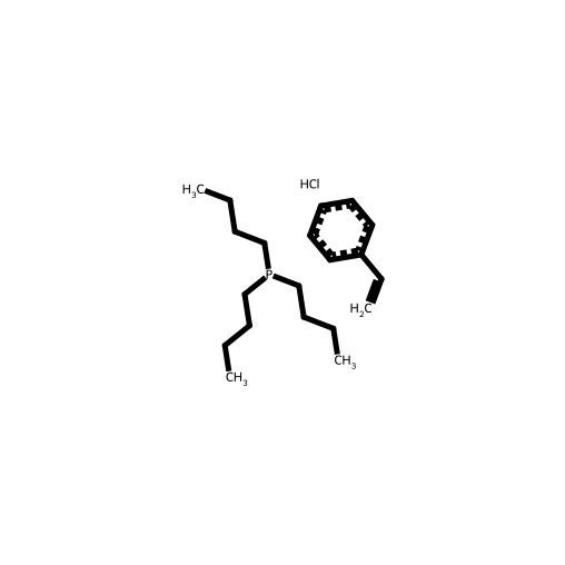 C=Cc1ccccc1.CCCCP(CCCC)CCCC.Cl